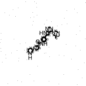 CC1CN(c2ncnc3[nH]c(-c4ccc(NC(=O)[C@@H]5CCN(C6CCCNC6)C5)cc4)cc23)CCO1